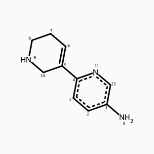 Nc1ccc(C2=CCCNC2)nc1